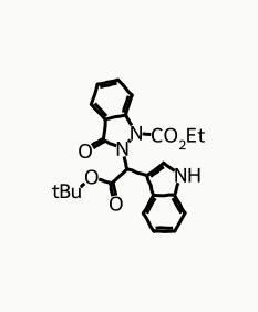 CCOC(=O)n1c2ccccc2c(=O)n1C(C(=O)OC(C)(C)C)c1c[nH]c2ccccc12